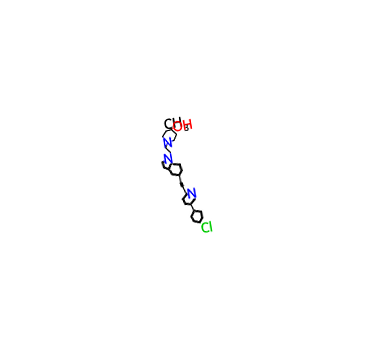 CC1(O)CCN(CCn2ccc3cc(C#Cc4ccc(-c5ccc(Cl)cc5)cn4)ccc32)CC1